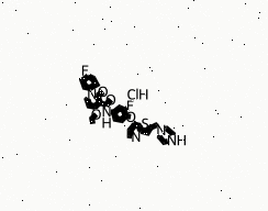 CCOc1ccn(-c2ccc(F)cc2)c(=O)c1C(=O)Nc1ccc(Oc2ccnc3cc(CN4CCNCC4)sc23)c(F)c1.Cl